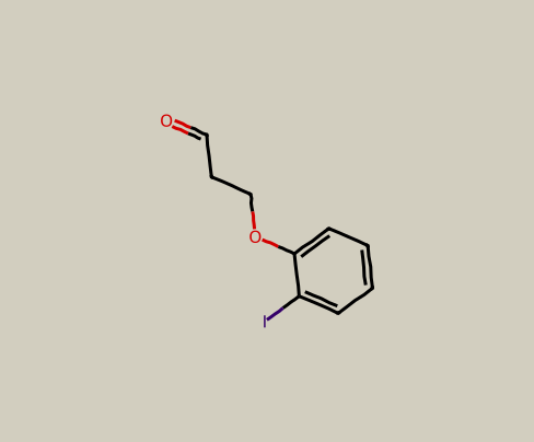 O=CCCOc1ccccc1I